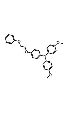 COc1ccc(N(c2ccc(OC)cc2)c2ccc(OCCOc3ccccc3)cc2)cc1